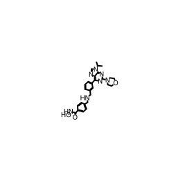 CC(C)n1cnc2c(-c3cccc(CNCc4ccc(C(=O)NO)cc4)c3)nc(N3CCOCC3)nc21